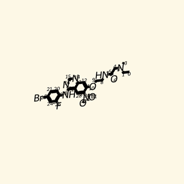 CCN(C)CC(=O)NCCOc1cc2ncnc(Nc3ccc(Br)cc3F)c2cc1[N+](=O)[O-]